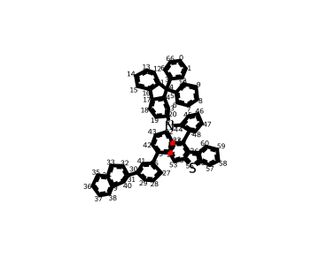 c1ccc(C2(c3ccccc3)c3ccccc3-c3ccc(N(c4ccc(-c5cccc(-c6ccc7ccccc7c6)c5)cc4)c4ccccc4-c4cccc5sc6ccccc6c45)cc32)cc1